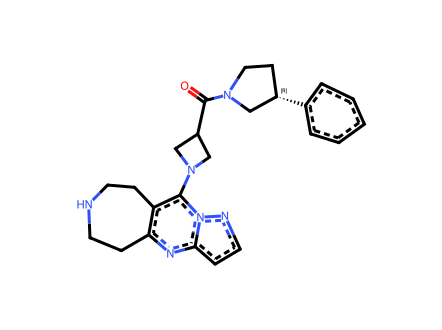 O=C(C1CN(c2c3c(nc4ccnn24)CCNCC3)C1)N1CC[C@H](c2ccccc2)C1